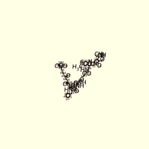 CC[C@@]1(O)C(=O)OCc2c1cc1n(c2=O)Cc2c-1nc1cc(F)c(C)cc1c2CNC(=O)OCCOCNC(=O)NNC(=O)[C@H](Cc1ccccc1)NC(=O)CNC(=O)CCC(=O)CCCCCN1C(=O)C=CC1=O